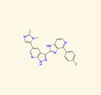 Cc1ncc(-c2cnc3[nH]nc(-c4nc5c(-c6ccc(F)cc6)nccc5[nH]4)c3c2)n1C